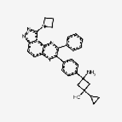 NC1(c2ccc(-c3nc4ccc5nnc(N6CCC6)n5c4nc3-c3ccccc3)cc2)CC(O)(C2CC2)C1